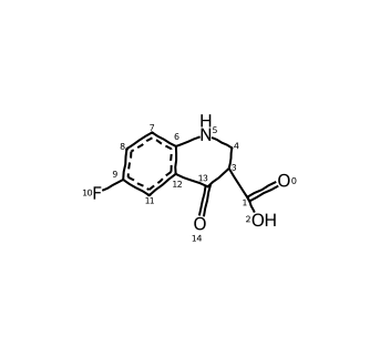 O=C(O)C1CNc2ccc(F)cc2C1=O